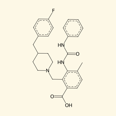 Cc1ccc(C(=O)O)c(CN2CCC(Cc3ccc(F)cc3)CC2)c1NC(=O)Nc1ccccc1